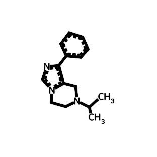 CC(C)N1CCn2cnc(-c3ccccc3)c2C1